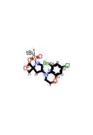 CC(C)(C)S(=O)(=O)N1CC(N2CCOc3cc(Cl)cc(Br)c32)CC12COC2